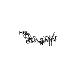 Cc1ccnc(Nc2cccc(-c3cnc(CCC4CCN(C(=O)C5CCC(O)CC5)CC4)s3)n2)c1